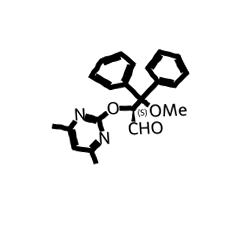 COC(c1ccccc1)(c1ccccc1)[C@@H](C=O)Oc1nc(C)cc(C)n1